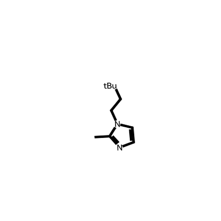 Cc1nccn1CCC(C)(C)C